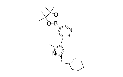 Cc1nn(CC2CCCCC2)c(C)c1-c1cncc(B2OC(C)(C)C(C)(C)O2)c1